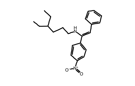 CCC(CC)CCCNC(=Cc1ccccc1)c1ccc([N+](=O)[O-])cc1